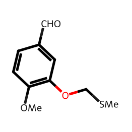 COc1ccc(C=O)cc1OCSC